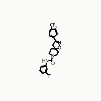 O=C(Nc1cccc(F)c1)N1CCC2(CC1)CC(c1ccc(C(F)(F)F)cc1)=NO2